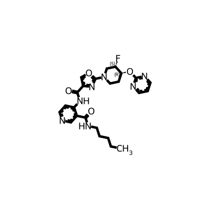 CCCCCNC(=O)c1cnccc1NC(=O)c1coc(N2CC[C@@H](Oc3ncccn3)[C@@H](F)C2)n1